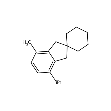 Cc1ccc(C(C)C)c2c1CC1(CCCCC1)C2